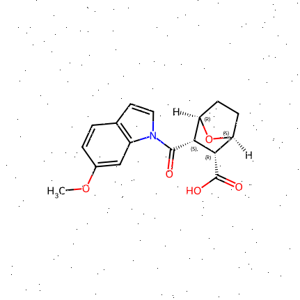 COc1ccc2ccn(C(=O)[C@H]3[C@@H](C(=O)O)[C@@H]4CC[C@H]3O4)c2c1